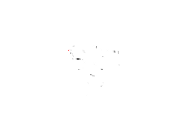 C=CCC(N)(c1cccc(Cl)c1)N(C(=O)C1CCC1)C(N)(CC=C)c1cccc(Cl)c1